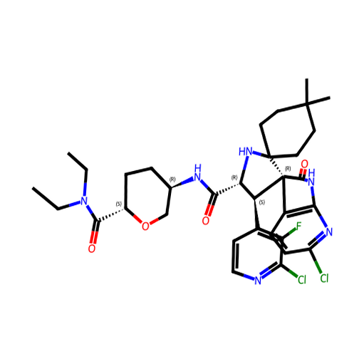 CCN(CC)C(=O)[C@@H]1CC[C@@H](NC(=O)[C@@H]2NC3(CCC(C)(C)CC3)[C@@]3(C(=O)Nc4nc(Cl)ccc43)[C@H]2c2ccnc(Cl)c2F)CO1